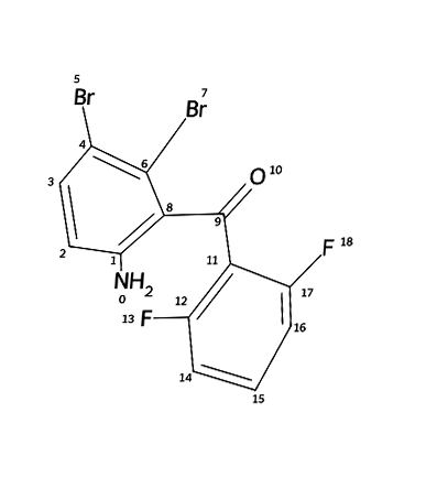 Nc1ccc(Br)c(Br)c1C(=O)c1c(F)cccc1F